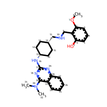 COc1cccc(O)c1CNC[C@H]1CC[C@@H](Nc2nc(N(C)C)c3ccccc3n2)CC1